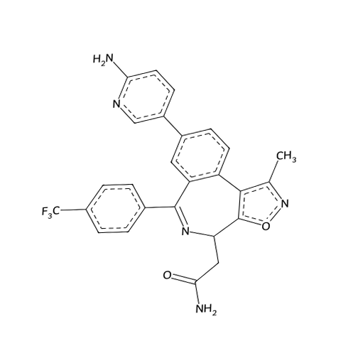 Cc1noc2c1-c1ccc(-c3ccc(N)nc3)cc1C(c1ccc(C(F)(F)F)cc1)=NC2CC(N)=O